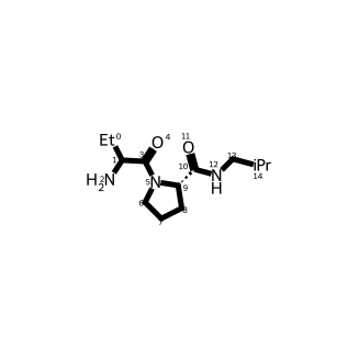 CCC(N)C(=O)N1CCC[C@H]1C(=O)NCC(C)C